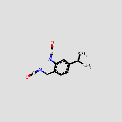 CC(C)c1ccc(CN=C=O)c(N=C=O)c1